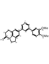 COc1ccc(-c2cncc(-c3cc4c5c(c3)CCN5C(=S)CC4)c2)cc1OC